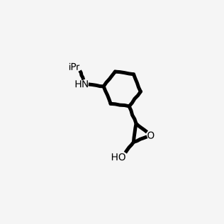 CC(C)NC1CCCC(C2OC2O)C1